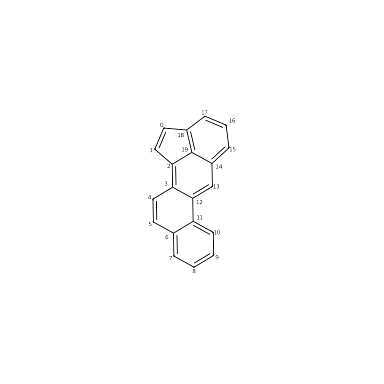 C1=Cc2c3ccc4ccccc4c3cc3cccc1c23